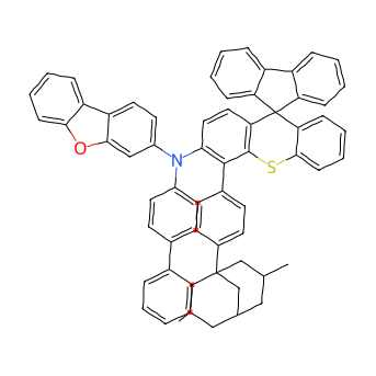 CC1CC2CC(C)CC(c3ccc(-c4c(N(c5ccc(-c6ccccc6)cc5)c5ccc6c(c5)oc5ccccc56)ccc5c4Sc4ccccc4C54c5ccccc5-c5ccccc54)cc3)(C1)C2